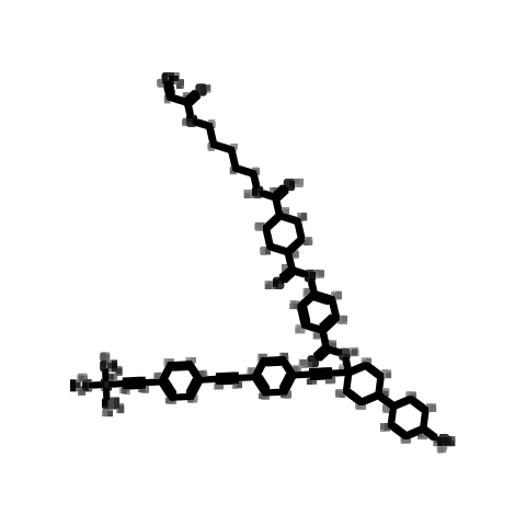 C=CC(=O)OCCCCCOC(=O)C1CCC(C(=O)Oc2ccc(C(=O)OC3(C#Cc4ccc(C#Cc5ccc(C#C[Si](C)(C)C)cc5)cc4)CCC(C4CCC(CCCC)CC4)CC3)cc2)CC1